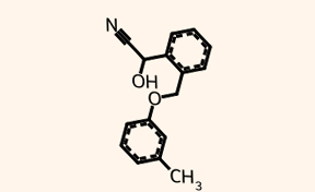 Cc1cccc(OCc2ccccc2C(O)C#N)c1